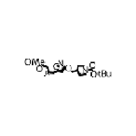 COC(=O)C[C@@H](C)Cc1cc(OCC2CCN(C(=O)OC(C)(C)C)CC2)no1